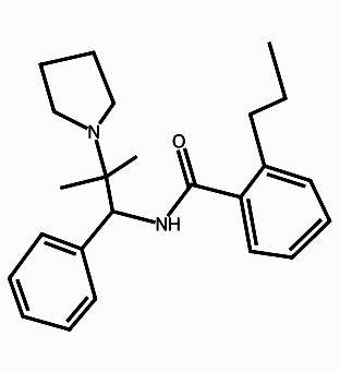 CCCc1ccccc1C(=O)NC(c1ccccc1)C(C)(C)N1CCCC1